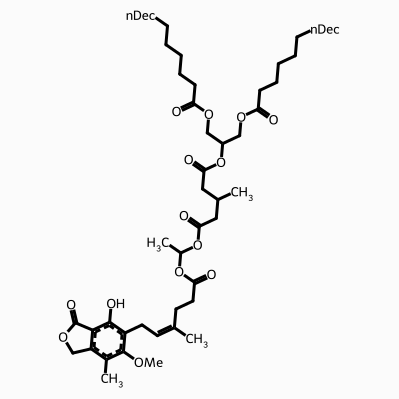 CCCCCCCCCCCCCCCC(=O)OCC(COC(=O)CCCCCCCCCCCCCCC)OC(=O)CC(C)CC(=O)OC(C)OC(=O)CCC(C)=CCc1c(O)c2c(c(C)c1OC)COC2=O